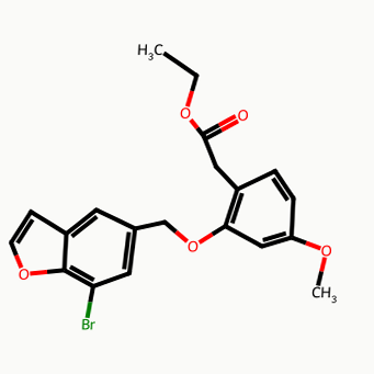 CCOC(=O)Cc1ccc(OC)cc1OCc1cc(Br)c2occc2c1